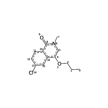 CCCOc1[c]n(C)c(=O)c2ccc(Cl)cc12